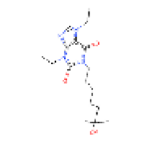 CCn1cnc2c1c(=O)n(CCCCCC(C)(C)O)c(=O)n2CC